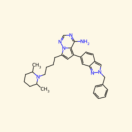 CC1CCCC(C)N1CCCCc1cc(-c2ccc3cn(Cc4ccccc4)nc3c2)c2c(N)ncnn12